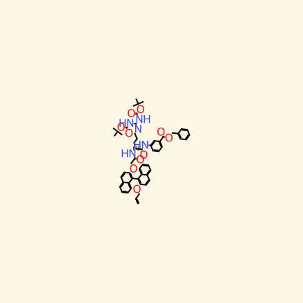 C=CCOc1ccc2ccccc2c1-c1c(OCC(=O)N[C@H](CCCN=C(NC(=O)OC(C)(C)C)NC(=O)OC(C)(C)C)C(=O)Nc2cccc(C(=O)OCc3ccccc3)c2)ccc2ccccc12